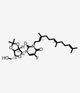 CC(C)=CCC/C(C)=C/CC/C(C)=C/Cn1c(=O)c(F)cn([C@@H]2O[C@H](CO)C3OC(C)(C)O[C@@H]32)c1=O